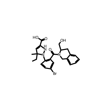 CCC1(C)C=C(C(=O)O)NN1c1ccc(Br)cc1C(=O)N1Cc2ccccc2CC1CO